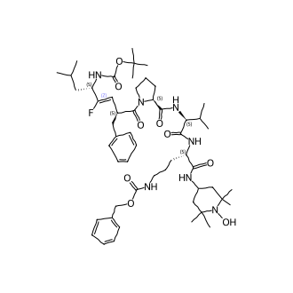 CC(C)C[C@H](NC(=O)OC(C)(C)C)/C(F)=C/[C@H](Cc1ccccc1)C(=O)N1CCC[C@H]1C(=O)N[C@H](C(=O)N[C@@H](CCCNC(=O)OCc1ccccc1)C(=O)NC1CC(C)(C)N(O)C(C)(C)C1)C(C)C